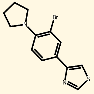 Brc1cc(-c2cs[c]n2)ccc1N1CCCC1